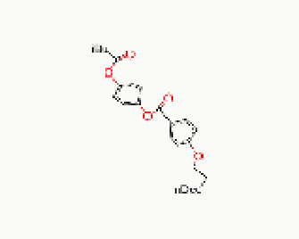 CCCCCCCCCCCCOc1ccc(C(=O)Oc2ccc(OC(=O)C(C)CC)cc2)cc1